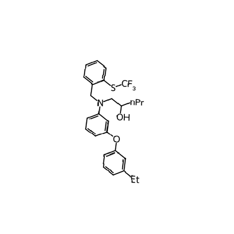 CCCC(O)CN(Cc1ccccc1SC(F)(F)F)c1cccc(Oc2cccc(CC)c2)c1